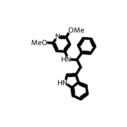 COc1cc(NC([CH]c2c[nH]c3ccccc23)c2ccccc2)cc(OC)n1